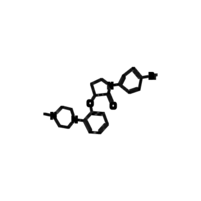 CN1CCN(c2ccccc2OC2CCN(c3ccc(Br)cc3)C2=O)CC1